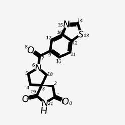 O=C1C[C@]2(CCN(C(=O)c3ccc4scnc4c3)C2)C(=O)N1